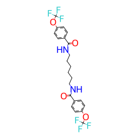 O=C(NCCCCCCNC(=O)c1ccc(OC(F)(F)F)cc1)c1ccc(OC(F)(F)F)cc1